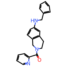 O=C(c1ccccn1)N1CCc2cc(NCc3ccccc3)ccc2C1